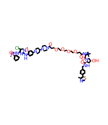 COc1cc(N2CCC(N3CCN(C(=O)CCOCCOCCOCCOCCC(=O)N[C@H](C(=O)N4C[C@H](O)C[C@H]4C(=O)NCc4ccc(-c5scnc5C)cc4)C(C)(C)C)CC3)CC2)ccc1Nc1ncc(Cl)c(Nc2ccccc2P(C)(C)=O)n1